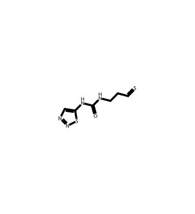 O=C(NCCC=S)Nc1cnns1